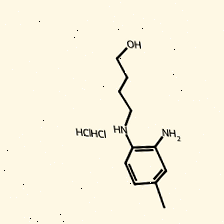 Cc1ccc(NCCCCO)c(N)c1.Cl.Cl